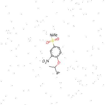 CNS(=O)(=O)c1ccc(OC(C)C(C)C)c([N+](=O)[O-])c1